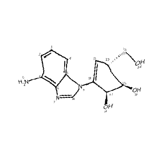 Nc1cccc2c1ncn2C1=C[C@H](CO)[C@@H](O)[C@H]1O